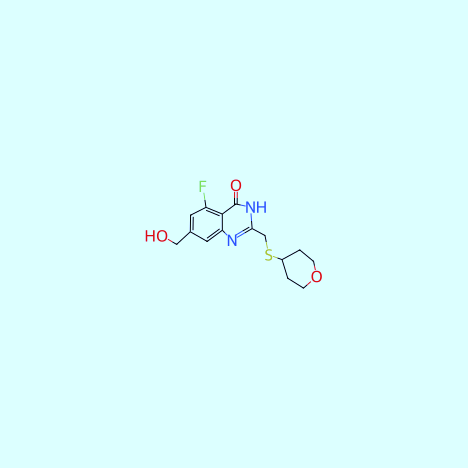 O=c1[nH]c(CSC2CCOCC2)nc2cc(CO)cc(F)c12